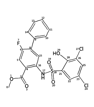 COC(=O)c1cc(F)c(-c2ccccc2)cc1NS(=O)(=O)c1cc(Cl)cc(Cl)c1O